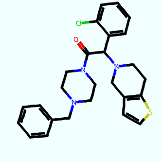 O=C(C(c1ccccc1Cl)N1CCc2sccc2C1)N1CCN(Cc2ccccc2)CC1